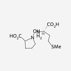 CSCC[C@H](N)C(=O)O.O=C(O)C1CCCN1O